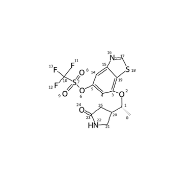 C[C@@H](Oc1cc(OS(=O)(=O)C(F)(F)F)cc2ncsc12)C1CNC(=O)C1